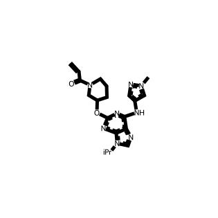 C=CC(=O)N1CCCC(Oc2nc(Nc3cnn(C)c3)c3ncn(C(C)C)c3n2)C1